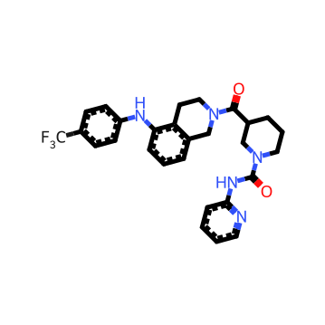 O=C(Nc1ccccn1)N1CCCC(C(=O)N2CCc3c(cccc3Nc3ccc(C(F)(F)F)cc3)C2)C1